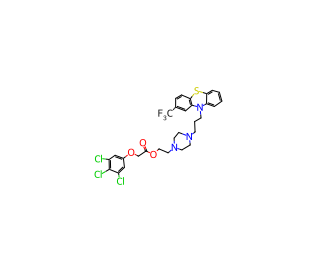 O=C(COc1cc(Cl)c(Cl)c(Cl)c1)OCCN1CCN(CCCN2c3ccccc3Sc3ccc(C(F)(F)F)cc32)CC1